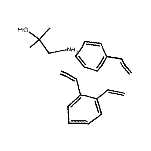 C=Cc1ccccc1.C=Cc1ccccc1C=C.CC(C)(O)CN